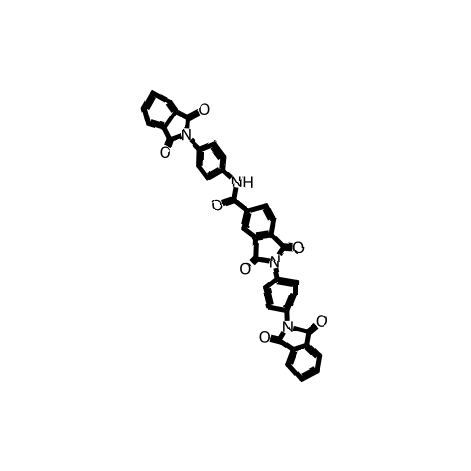 O=C(Nc1ccc(N2C(=O)c3ccccc3C2=O)cc1)c1ccc2c(c1)C(=O)N(c1ccc(N3C(=O)c4ccccc4C3=O)cc1)C2=O